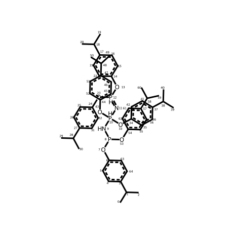 CC(C)c1ccc(OP(N[PH](N=[PH](Oc2ccc(C(C)C)cc2)Oc2ccc(C(C)C)cc2)(Oc2ccc(C(C)C)cc2)Oc2ccc(C(C)C)cc2)Oc2ccc(C(C)C)cc2)cc1